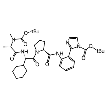 C[C@@H](C(=O)N[C@H](C(=O)N1CCC[C@H]1C(=O)Nc1ccccc1-c1nccn1C(=O)OC(C)(C)C)C1CCCCC1)N(C)C(=O)OC(C)(C)C